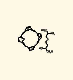 C1=Cc2cc3ccc(cc4nc(cc5ccc(cc1n2)[nH]5)C=C4)[nH]3.NC(CSSCC(N)C(=O)O)C(=O)O